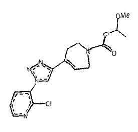 COC(C)OC(=O)N1CC=C(c2cn(-c3cccnc3Cl)nn2)CC1